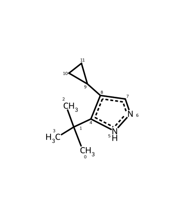 CC(C)(C)c1[nH]ncc1C1CC1